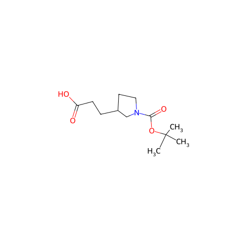 CC(C)(C)OC(=O)N1CCC(CCC(=O)O)C1